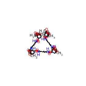 C=C1C(=O)O[C@H]2[C@H]1CC/C(COC(=O)NCCCCCCCCNCC1C(=O)O[C@H]3[C@H]1CC/C(COC(=O)NCCCCCCCCNC(=O)OC/C1=C/CC[C@@]4(C)O[C@H]4[C@H]4OC(=O)[C@@H](CNCCCCCCCCNC(=O)OC/C5=C/CC[C@@]6(C)O[C@H]6[C@H]6OC(=O)C(=C)[C@@H]6CC5)[C@@H]4CC1)=C\CC[C@@]1(C)O[C@@H]31)=C\CC[C@@]1(C)O[C@@H]21